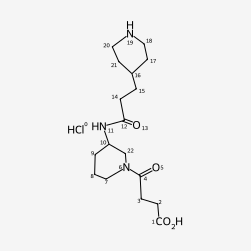 Cl.O=C(O)CCC(=O)N1CCCC(NC(=O)CCC2CCNCC2)C1